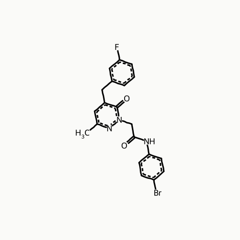 Cc1cc(Cc2cccc(F)c2)c(=O)n(CC(=O)Nc2ccc(Br)cc2)n1